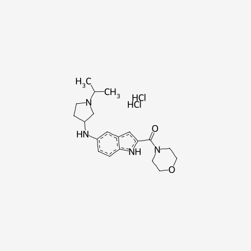 CC(C)N1CCC(Nc2ccc3[nH]c(C(=O)N4CCOCC4)cc3c2)C1.Cl.Cl